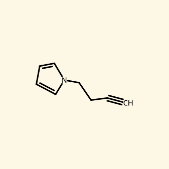 C#CCCn1cccc1